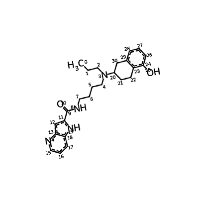 CCCN(CCCCNC(=O)c1cc2ncccc2[nH]1)C1CCc2c(O)cccc2C1